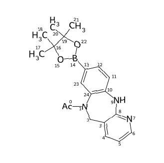 CC(=O)N1Cc2cccnc2Nc2ccc(B3OC(C)(C)C(C)(C)O3)cc21